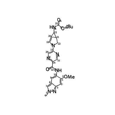 COc1cc2nn(C)cc2cc1NC(=O)c1cnc(N2C=C3C(C2)C3NC(=O)OC(C)(C)C)cn1